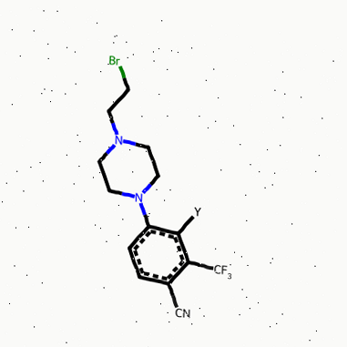 N#Cc1ccc(N2CCN(CCBr)CC2)[c]([Y])c1C(F)(F)F